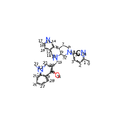 Cc1ccc(N2CCCC(N(Cc3ccnc(C)c3)Cc3cn(C)c4ccccc4c3=O)C2)cn1